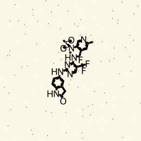 Cc1cc(CNc2nc(Nc3ccc4c(c3)CC(=O)N4)ncc2C(F)(F)F)c(N(C)S(C)(=O)=O)cn1